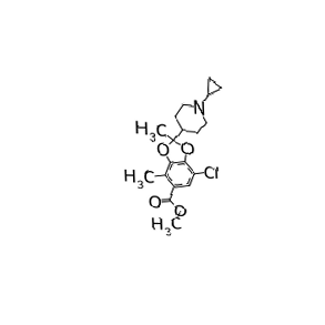 COC(=O)c1cc(Cl)c2c(c1C)OC(C)(C1CCN(C3CC3)CC1)O2